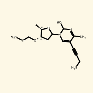 CSSCO[C@H]1CC(N2C=C(C#CCN)C(N)=NC2O)O[C@@H]1C